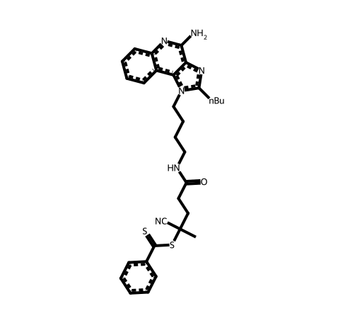 CCCCc1nc2c(N)nc3ccccc3c2n1CCCCNC(=O)CCC(C)(C#N)SC(=S)c1ccccc1